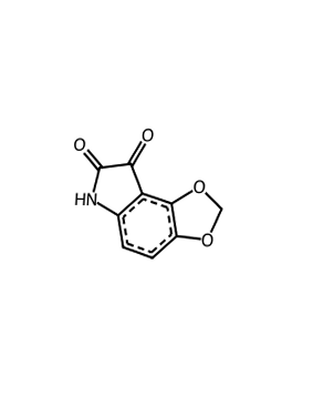 O=C1Nc2ccc3c(c2C1=O)OCO3